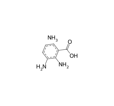 N.Nc1cccc(C(=O)O)c1N